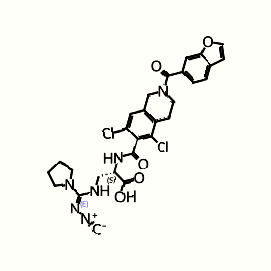 [C-]#[N+]/N=C(\NC[C@H](NC(=O)c1c(Cl)cc2c(c1Cl)CCN(C(=O)c1ccc3ccoc3c1)C2)C(=O)O)N1CCCC1